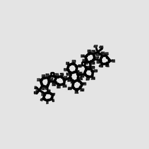 CC1(C)c2ccccc2-c2c1ccc1oc3cc(-c4c5ccccc5c(-c5cccc6c5oc5ccc7c(c56)-c5ccccc5C7(C)C)c5ccccc45)ccc3c21